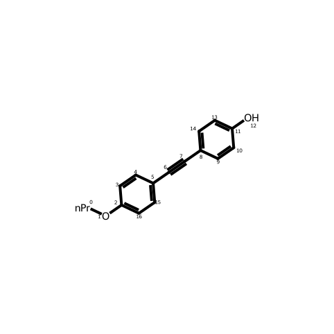 CCCOc1ccc(C#Cc2ccc(O)cc2)cc1